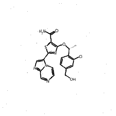 C[C@@H](Oc1nc(-c2cnc3cnccn23)sc1C(N)=O)c1ccc(CO)cc1Cl